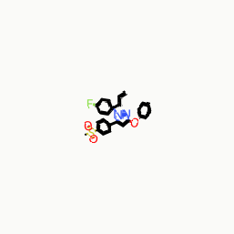 C=CCC1(n2nc(Oc3ccccc3)cc2-c2ccc(S(C)(=O)=O)cc2)C=CC(F)=CC1